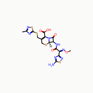 CON=C(C(=O)NC1C(=O)N2C(C(=O)O)=C(CSc3nc(C)ns3)CS[C@@H]12)c1nsc(N)n1